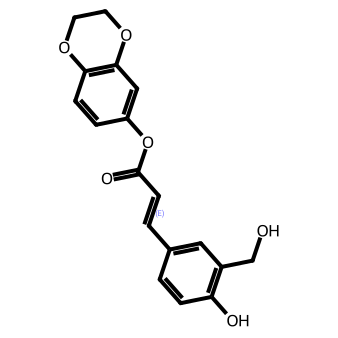 O=C(/C=C/c1ccc(O)c(CO)c1)Oc1ccc2c(c1)OCCO2